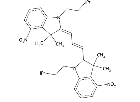 CC(C)CCN1/C(=C/C=C/C2N(CCC(C)C)c3cccc([N+](=O)[O-])c3C2(C)C)C(C)(C)c2c1cccc2[N+](=O)[O-]